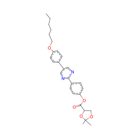 CCCCCCOc1ccc(-c2cnc(-c3ccc(OC(=O)C4COC(C)(C)O4)cc3)nc2)cc1